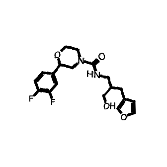 O=C(NCC(CO)Cc1ccoc1)N1CCOC(c2ccc(F)c(F)c2)C1